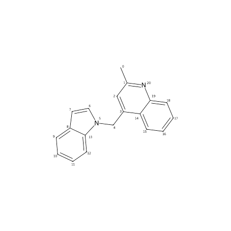 Cc1cc(Cn2ccc3ccccc32)c2ccccc2n1